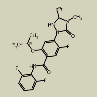 CCCC1NN(c2cc(O[C@@H](C)C(F)(F)F)c(C(=O)Nc3c(F)cccc3F)cc2F)C(=O)N1C